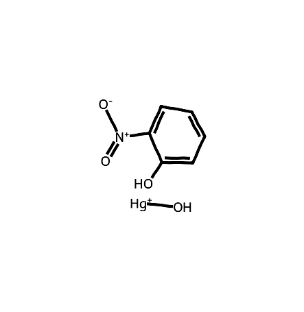 O=[N+]([O-])c1ccccc1O.[OH][Hg+]